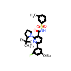 CCC(C)(C)C1CCCN1c1nc(-c2cc(F)cc(OCC(C)C)c2)ccc1C(=O)NS(=O)(=O)c1cccc(C)c1